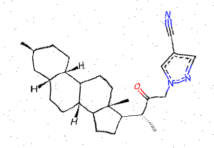 C[C@H]1CC[C@@H]2C3CC[C@@]4(C)C(CCC4[C@@H](C)C(=O)Cn4cc(C#N)cn4)[C@@H]3CC[C@@H]2C1